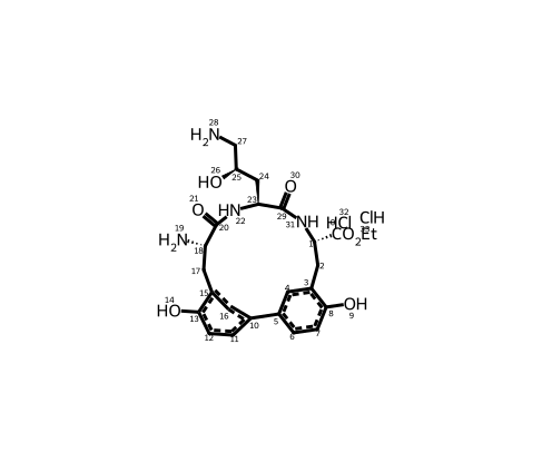 CCOC(=O)[C@@H]1Cc2cc(ccc2O)-c2ccc(O)c(c2)C[C@H](N)C(=O)N[C@@H](C[C@@H](O)CN)C(=O)N1.Cl.Cl